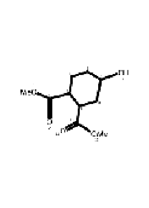 COC(=O)C1CCC(O)CC1C(=O)OC